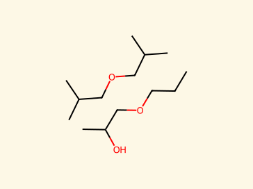 CC(C)COCC(C)C.CCCOCC(C)O